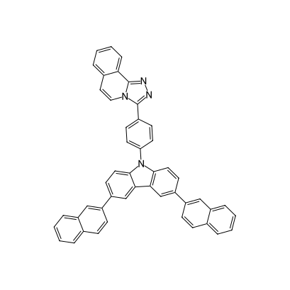 c1ccc2cc(-c3ccc4c(c3)c3cc(-c5ccc6ccccc6c5)ccc3n4-c3ccc(-c4nnc5c6ccccc6ccn45)cc3)ccc2c1